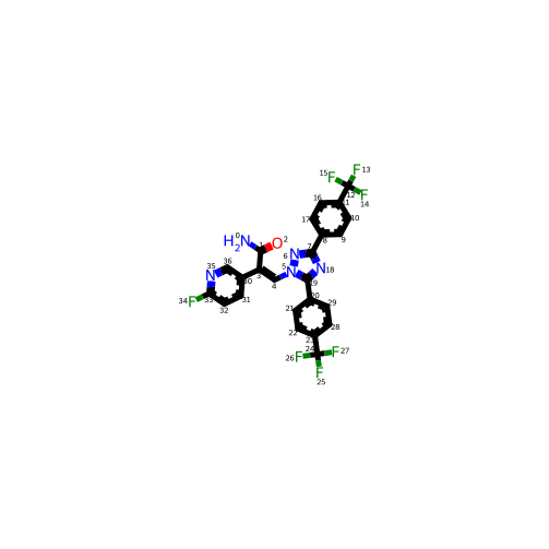 NC(=O)/C(=C\n1nc(-c2ccc(C(F)(F)F)cc2)nc1-c1ccc(C(F)(F)F)cc1)c1ccc(F)nc1